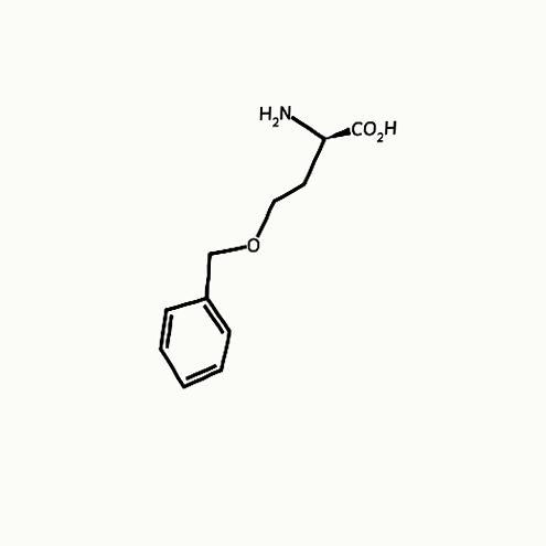 N[C@H](CCOCc1ccccc1)C(=O)O